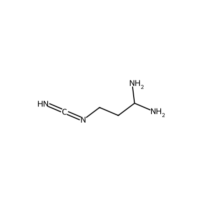 N=C=NCCC(N)N